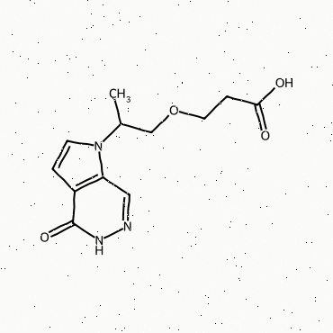 CC(COCCC(=O)O)n1ccc2c(=O)[nH]ncc21